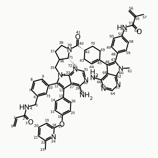 C=CC(=O)NCc1cccc(-c2c(-c3ccc(Oc4cccc(C)n4)cc3)c3c(N)ncnc3n2CC2CCN(C(=O)[C@H]3CC=C(c4c(-c5ccc(NC(=O)C(=C)C)cc5)n(C)c5ncnc(N)c45)CC3)[C@@H]2C)c1